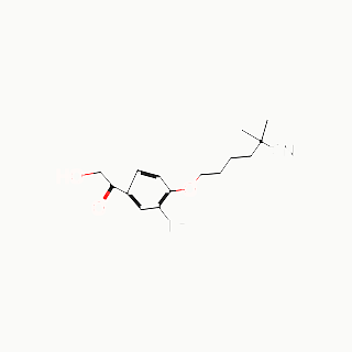 CCc1cc(C(=O)CO)ccc1OCCCCC(C)(C)C#N